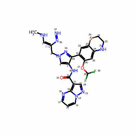 CN/C=C(/Cn1cc(NC(=O)c2cnn3cccnc23)c(-c2cc3c(cc2OC(F)F)NCCS3)n1)N=N